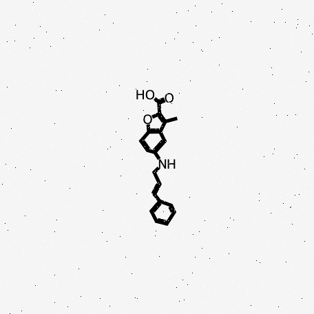 Cc1c(C(=O)O)oc2ccc(NCC=Cc3ccccc3)cc12